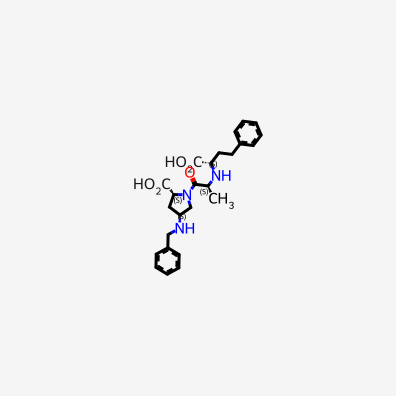 C[C@H](N[C@@H](CCc1ccccc1)C(=O)O)C(=O)N1C[C@@H](NCc2ccccc2)C[C@H]1C(=O)O